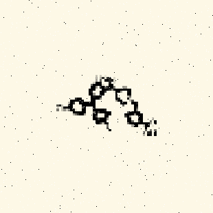 O=C(O)c1cccc(CN2CCC(c3n[nH]c4ccc(C(c5ccc(Cl)cc5)c5ccc(Cl)cc5)cc34)CC2)c1